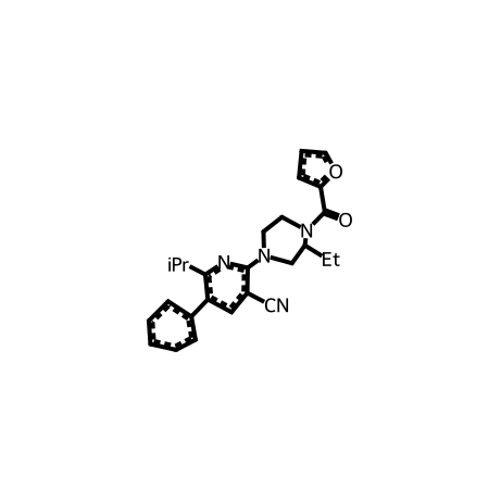 CCC1CN(c2nc(C(C)C)c(-c3ccccc3)cc2C#N)CCN1C(=O)c1ccco1